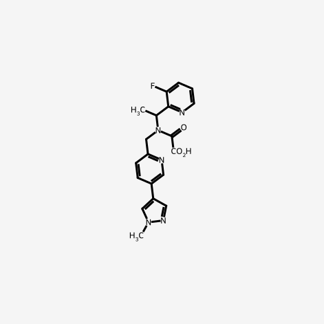 CC(c1ncccc1F)N(Cc1ccc(-c2cnn(C)c2)cn1)C(=O)C(=O)O